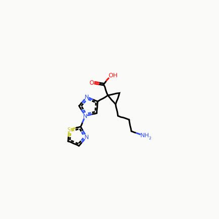 NCCCC1CC1(C(=O)O)c1cn(-c2nccs2)cn1